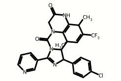 CC1C(C(F)(F)F)=CC2(C)C3=C1NC(=O)CN3C(=O)N1C(c3cccnc3)=NC(c3ccc(Cl)cc3)C12